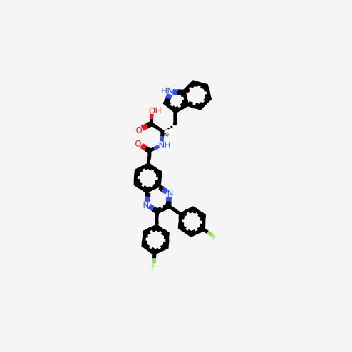 O=C(N[C@@H](Cc1c[nH]c2ccccc12)C(=O)O)c1ccc2nc(-c3ccc(F)cc3)c(-c3ccc(F)cc3)nc2c1